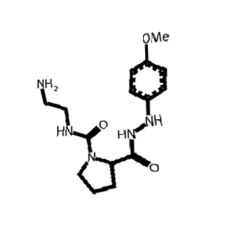 COc1ccc(NNC(=O)C2CCCN2C(=O)NCCN)cc1